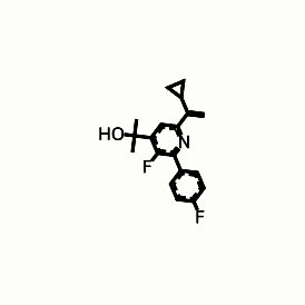 C=C(c1cc(C(C)(C)O)c(F)c(-c2ccc(F)cc2)n1)C1CC1